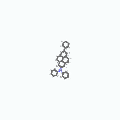 c1ccc(-c2cc3ccc4cc(N(c5ccccc5)c5ccccc5)cc5ccc(c2)c3c45)cc1